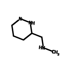 CNCC1CCC[N]N1